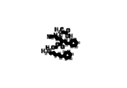 C=C(C)C(=O)O.C=CC=CC=Cc1ccccc1.CCOC(=O)C(C=Cc1ccccc1)=CC=CC#N